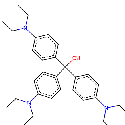 CCN(CC)c1ccc(C(O)(c2ccc(N(CC)CC)cc2)c2ccc(N(CC)CC)cc2)cc1